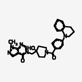 Cn1ncc2c(=O)n(CC3(O)CCN(C(=O)c4ccc(N5CCCc6ccccc65)cc4)CC3)cnc21